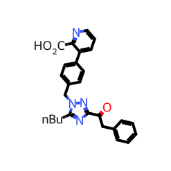 CCCCc1nc(C(=O)Cc2ccccc2)nn1Cc1ccc(-c2cccnc2C(=O)O)cc1